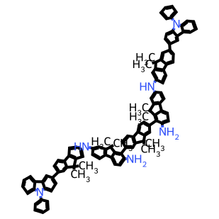 CC1(C)c2cc(Nc3ccc4c(c3)C(C)(C)c3c-4ccc(N)c3-c3ccc4c(c3)C(C)(C)c3cc(-c5c(N)ccc6c5C(C)(C)c5cc(Nc7ccc8c(c7)C(C)(C)c7cc(-c9ccc%10c(c9)c9ccccc9n%10-c9ccccc9)ccc7-8)ccc5-6)ccc3-4)ccc2-c2ccc(-c3ccc4c(c3)c3ccccc3n4-c3ccccc3)cc21